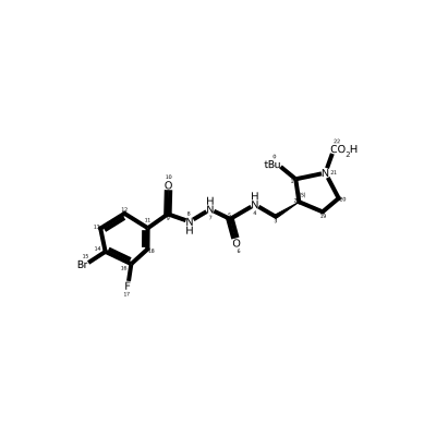 CC(C)(C)C1[C@H](CNC(=O)NNC(=O)c2ccc(Br)c(F)c2)CCN1C(=O)O